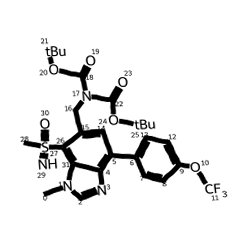 Cn1cnc2c(-c3ccc(OC(F)(F)F)cc3)cc(CN(C(=O)OC(C)(C)C)C(=O)OC(C)(C)C)c(S(C)(=N)=O)c21